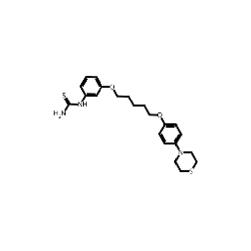 NC(=S)Nc1cccc(OCCCCCOc2ccc(N3CCSCC3)cc2)c1